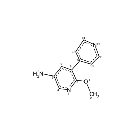 COc1ncc(N)cc1-c1ccncc1